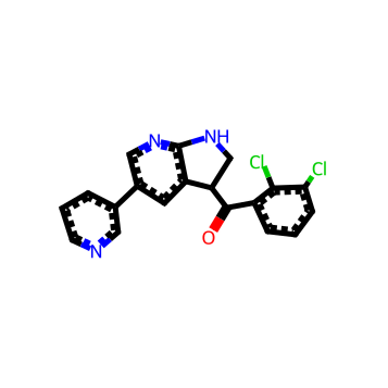 O=C(c1cccc(Cl)c1Cl)C1CNc2ncc(-c3cccnc3)cc21